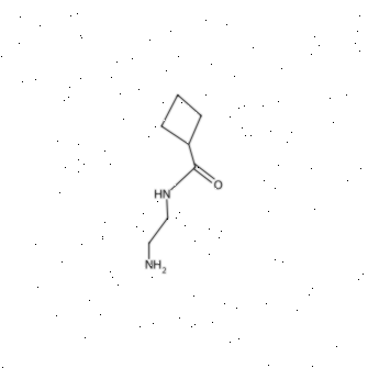 NCCNC(=O)C1CCC1